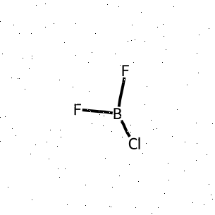 FB(F)Cl